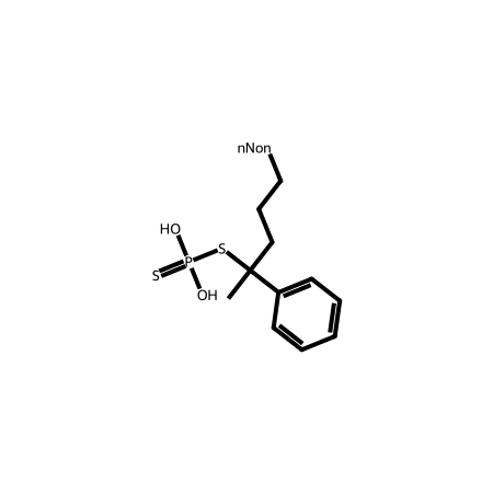 CCCCCCCCCCCCC(C)(SP(O)(O)=S)c1ccccc1